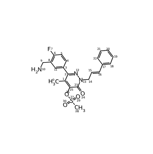 Cc1c(-c2ccc(F)c(CN)c2)nn(CC=Cc2ccccc2)c(=O)c1OS(C)(=O)=O